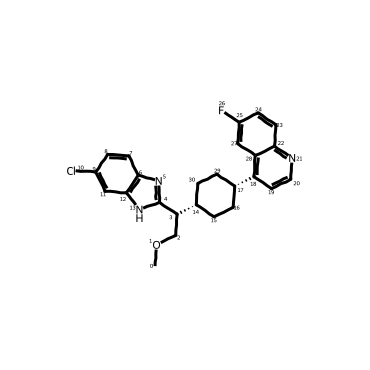 COCC(c1nc2ccc(Cl)cc2[nH]1)[C@H]1CC[C@@H](c2ccnc3ccc(F)cc32)CC1